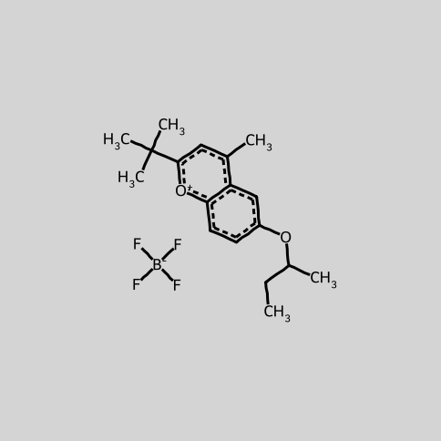 CCC(C)Oc1ccc2[o+]c(C(C)(C)C)cc(C)c2c1.F[B-](F)(F)F